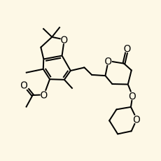 CC(=O)Oc1c(C)c(CCC2CC(OC3CCCCO3)CC(=O)O2)c2c(c1C)CC(C)(C)O2